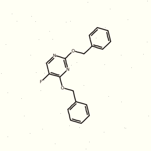 Fc1[c]nc(OCc2ccccc2)nc1OCc1ccccc1